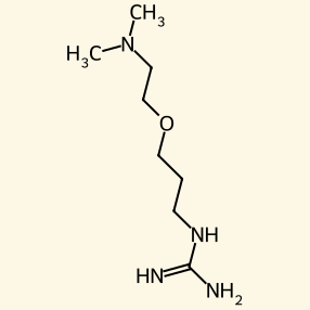 CN(C)CCOCCCNC(=N)N